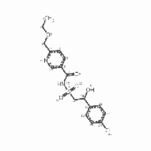 CCOCc1ccc(C(=O)NS(=O)(=O)CC(O)c2ccc(Cl)cc2)cn1